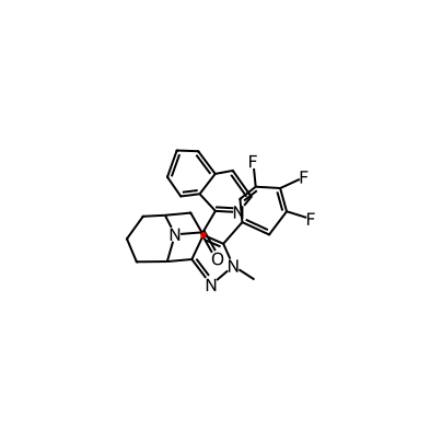 Cn1nc2c(c1-c1cc(F)c(F)c(F)c1)CC1CCCC2N1C(=O)c1nccc2ccccc12